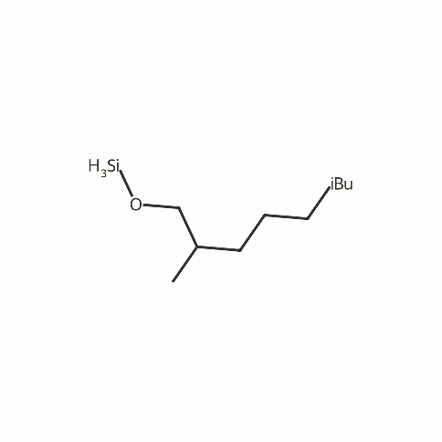 CCC(C)CCCC(C)CO[SiH3]